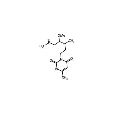 COC(CPC)C(C)CCn1c(=O)cc(C)[nH]c1=O